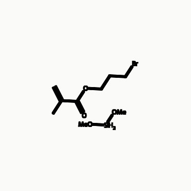 C=C(C)C(=O)OCCCBr.CO[SiH2]OC